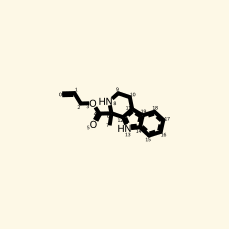 C=CCOC(=O)C1(C)NCCc2c1[nH]c1ccccc21